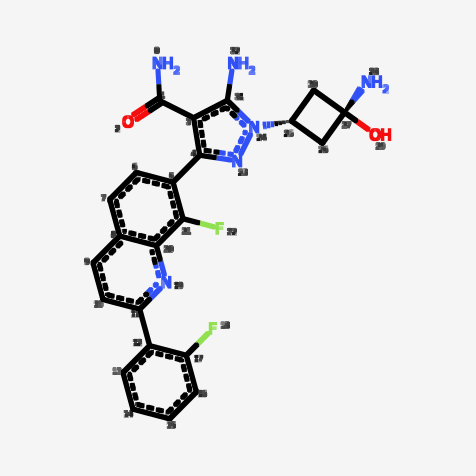 NC(=O)c1c(-c2ccc3ccc(-c4ccccc4F)nc3c2F)nn([C@H]2C[C@@](N)(O)C2)c1N